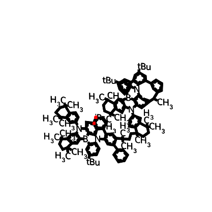 CC(C)c1cc2c3c(c1)N(c1cc(-c4ccccc4)c(C(C)(C)CCC4(C)CCC(C)(C)c5cc(N6c7cc8c(cc7B7c9cc(C(C)(C)C)ccc9N9c%10cc(cc6c%107)C(C)c6cccc(c6)-c6cc(C(C)(C)C)cc(-c7ccccc7)c69)C(C)(C)CCC8(C)C)ccc54)cc1-c1ccccc1)c1ccc(C(C)(C)C)cc1B3c1cc3c(cc1N2c1ccc2c(c1)C(C)(C)CCC2(C)C)C(C)(C)CCC3(C)C